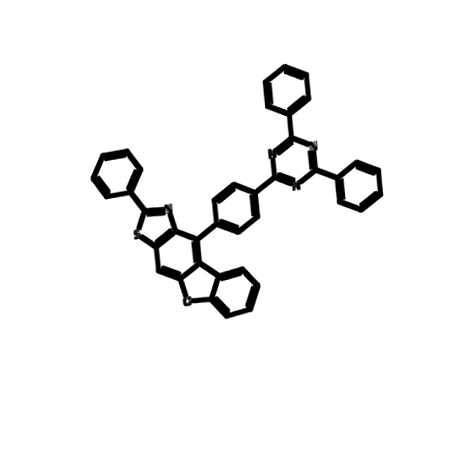 c1ccc(-c2nc(-c3ccccc3)nc(-c3ccc(-c4c5nc(-c6ccccc6)sc5cc5oc6ccccc6c45)cc3)n2)cc1